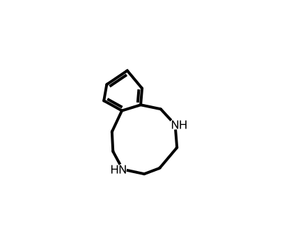 c1ccc2c(c1)CCNCCCNC2